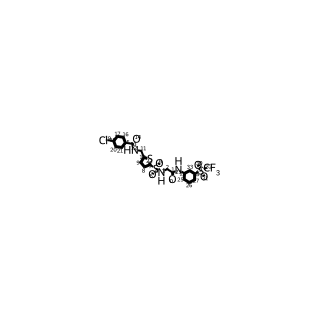 O=C(CNS(=O)(=O)c1ccc(CNC(=O)c2ccc(Cl)cc2)s1)Nc1cccc(S(=O)(=O)C(F)(F)F)c1